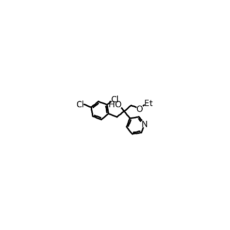 CCOCC(O)(Cc1ccc(Cl)cc1Cl)c1cccnc1